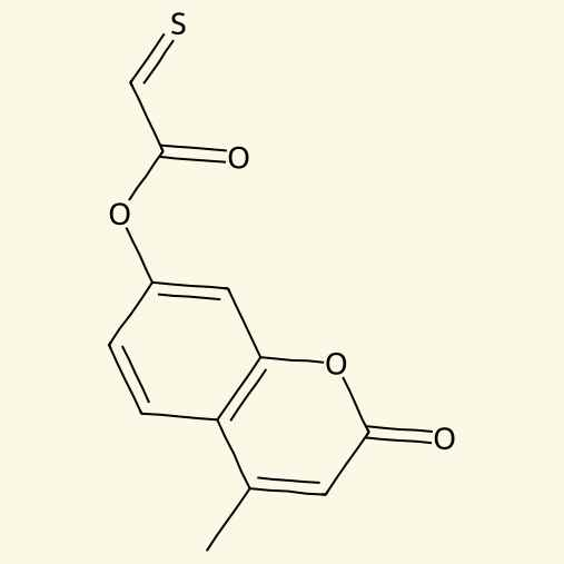 Cc1cc(=O)oc2cc(OC(=O)C=S)ccc12